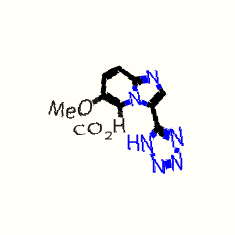 COc1ccc2ncc(-c3nnn[nH]3)n2c1C(=O)O